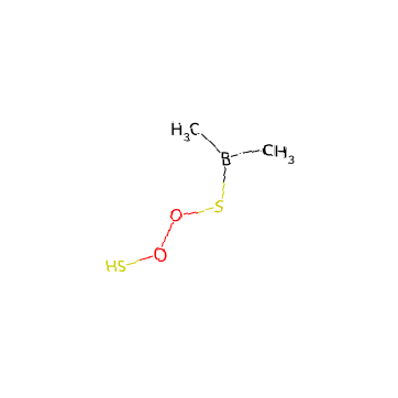 CB(C)SOOS